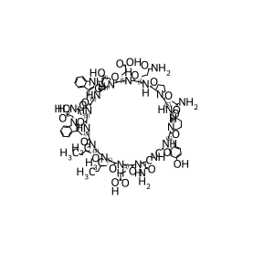 CCCC[C@H]1C(=O)N(C)[C@@H](CCCC)C(=O)N[C@@H](CCC(=O)O)C(=O)N[C@H](C(N)=O)CNCC(=O)N[C@@H](Cc2ccc(O)cc2)C(=O)N2CCCC[C@H]2C(=O)N[C@@H](CC(N)=O)C(=O)N2CCCC2C(=O)N[C@@H](CCC(N)=O)C(=O)N[C@@H](CCC(=O)O)C(=O)N2C[C@H](O)C[C@H]2C(=O)N[C@@H](Cc2c[nH]c3ccccc23)C(=O)N[C@@H](CC(N)=O)C(=O)N[C@@H](Cc2cn(CC(=O)O)c3ccccc23)C(=O)N1C